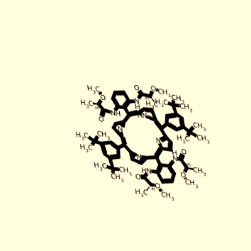 CO[C@H](C)C(=O)Nc1cccc(NC(=O)[C@@H](C)OC)c1-c1c2nc(c(-c3cc(C(C)(C)C)cc(C(C)(C)C)c3)c3ccc([nH]3)c(-c3c(NC(=O)[C@@H](C)OC)cccc3NC(=O)[C@@H](C)OC)c3nc(c(-c4cc(C(C)(C)C)cc(C(C)(C)C)c4)c4ccc1[nH]4)CC3)C=C2